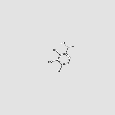 CC(O)c1ccc(Br)c(O)c1Br